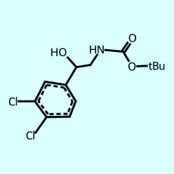 CC(C)(C)OC(=O)NCC(O)c1ccc(Cl)c(Cl)c1